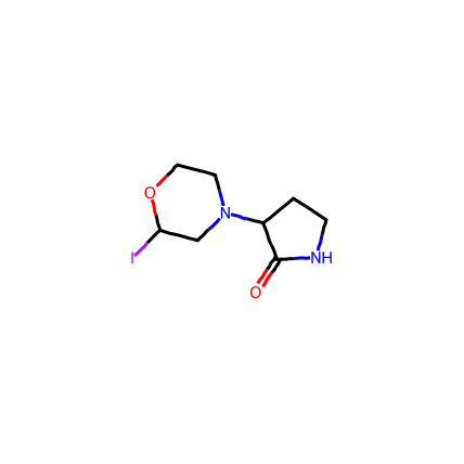 O=C1NCCC1N1CCOC(I)C1